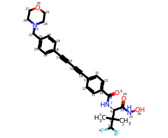 CC(C)(C(F)F)[C@H](NC(=O)c1ccc(C#CC#Cc2ccc(CN3CCOCC3)cc2)cc1)C(=O)NO